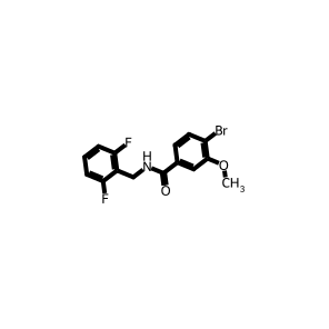 COc1cc(C(=O)NCc2c(F)cccc2F)ccc1Br